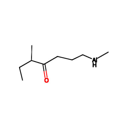 CCC(C)C(=O)CC[CH2][AlH][CH3]